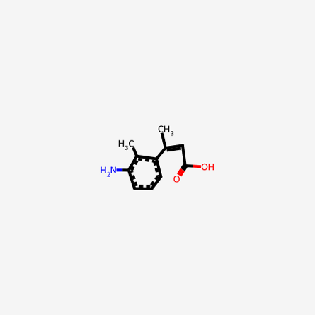 C/C(=C/C(=O)O)c1cccc(N)c1C